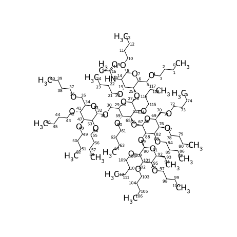 CCCCOCC1O[C@@H](OCCCC)C(NC(C)=O)[C@@H](OCCCC)[C@@H]1O[C@@H]1OC(CO[C@H]2OC(COCCCC)[C@@H](OCCCC)[C@H](OCCCC)C2OCCCC)[C@@H](OCCCC)[C@H](O[C@H]2O[C@@H](COCCCC)[C@@H](OCCCC)C(OCCCC)C2O[C@H]2O[C@@H](CC)[C@@H](OCCCC)C(OCCCC)C2OCCCC)C1OCCCC